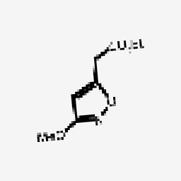 CCOC(=O)Cc1cc(OC)no1